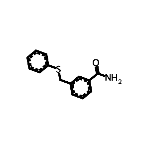 NC(=O)c1cccc(CSc2ccccc2)c1